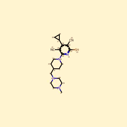 CN1CCN(CC2CCN(c3nc(S)c(C#N)c(C4CC4)c3C#N)CC2)CC1